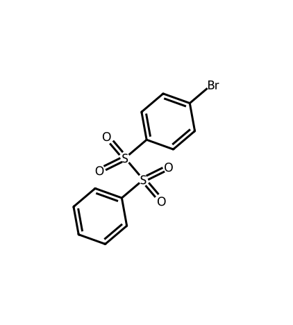 O=S(=O)(c1ccccc1)S(=O)(=O)c1ccc(Br)cc1